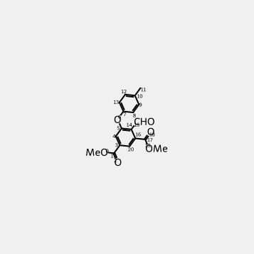 COC(=O)c1cc(Oc2ccc(C)cc2)c(C=O)c(C(=O)OC)c1